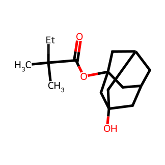 CCC(C)(C)C(=O)OC12CC3CC(CC(O)(C3)C1)C2